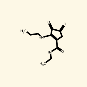 CCCNC1=C(C(=O)NCC)CC(=O)C1=O